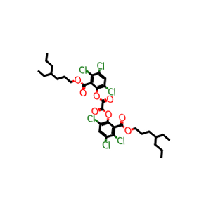 CCCC(CC)CCCOC(=O)c1c(Cl)c(Cl)cc(Cl)c1OC(=O)C(=O)Oc1c(Cl)cc(Cl)c(Cl)c1C(=O)OCCCC(CC)CCC